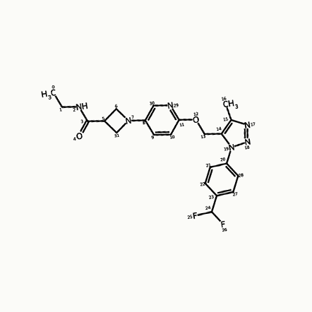 CCNC(=O)C1CN(c2ccc(OCc3c(C)nnn3-c3ccc(C(F)F)cc3)nc2)C1